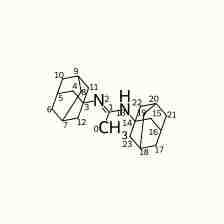 C/C(=N\C12CC3CC(CC(C3)C1)C2)NC12CC3CC(CC(C3)C1)C2